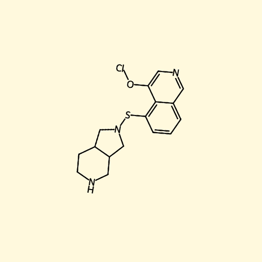 ClOc1cncc2cccc(SN3CC4CCNCC4C3)c12